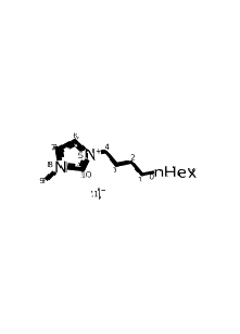 CCCCCCCCCC[n+]1ccn(C)c1.[I-]